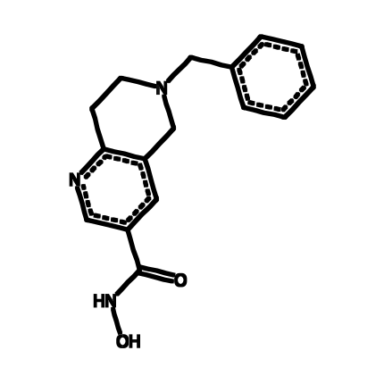 O=C(NO)c1cnc2c(c1)CN(Cc1ccccc1)CC2